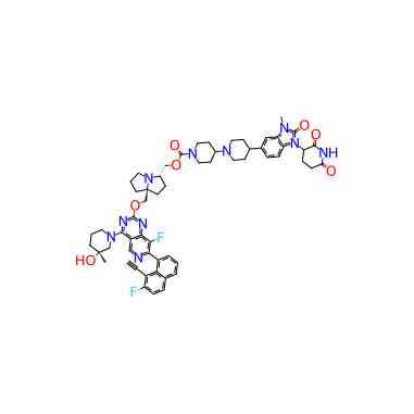 C#Cc1c(F)ccc2cccc(-c3ncc4c(N5CCC[C@@](C)(O)C5)nc(OC[C@@]56CCCN5[C@H](COC(=O)N5CCC(N7CCC(c8ccc9c(c8)n(C)c(=O)n9C8CCC(=O)NC8=O)CC7)CC5)CC6)nc4c3F)c12